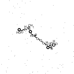 C[C@@H]1C[C@@H](CN/C=C/C(=O)c2ccccc2O)N(c2ccc(CCNC(=O)CCOCCOCCOCCNc3cccc4c3C(=O)N(C3CCC(=O)NC3=O)C4=O)cc2)C1